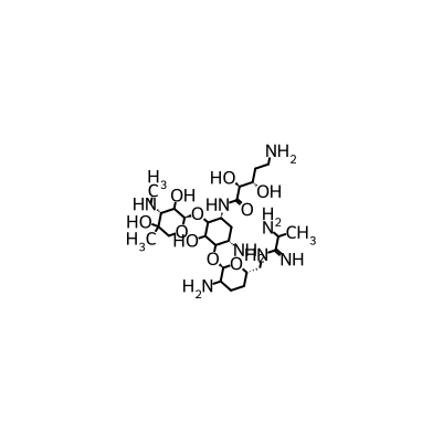 CN[C@@H]1C(O)[C@@H](OC2C(O)C(O[C@H]3O[C@H](CNC(=N)C(C)N)CCC3N)[C@@H](N)C[C@H]2NC(=O)[C@@H](O)[C@@H](O)CCN)OCC1(C)O